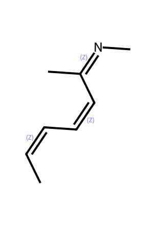 C\C=C/C=C\C(C)=N/C